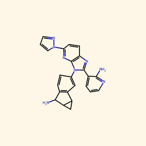 Nc1ncccc1-c1nc2ccc(-n3cccn3)nc2n1-c1ccc2c(c1)C1CC1C2N